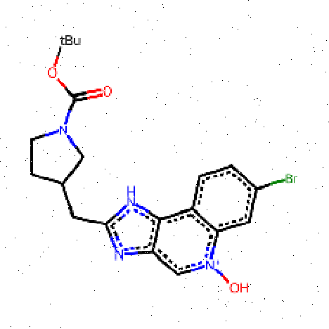 CC(C)(C)OC(=O)N1CCC(Cc2nc3c[n+](O)c4cc(Br)ccc4c3[nH]2)C1